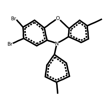 Cc1ccc(N2c3ccc(C)cc3Oc3cc(Br)c(Br)cc32)cc1